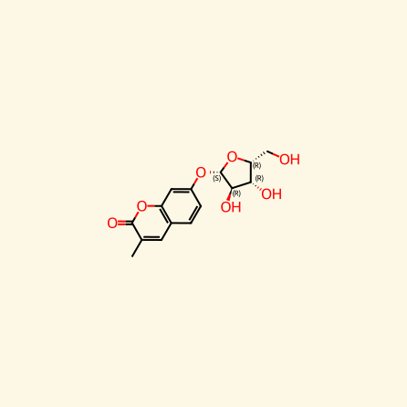 Cc1cc2ccc(O[C@@H]3O[C@H](CO)[C@H](O)[C@H]3O)cc2oc1=O